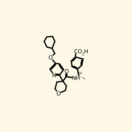 C[C@H](NC(=O)C1(c2ccc(OCC3CCCCC3)cn2)CCOCC1)c1ccc(C(=O)O)cc1